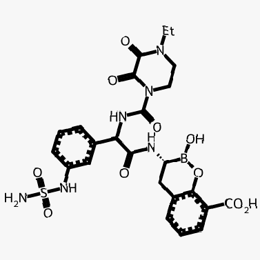 CCN1CCN(C(=O)NC(C(=O)N[C@H]2Cc3cccc(C(=O)O)c3OB2O)c2cccc(NS(N)(=O)=O)c2)C(=O)C1=O